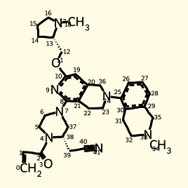 C=CC(=O)N1CCN(c2nc(OC[C@@H]3CCCN3C)cc3c2CCN(c2cccc4c2CCN(C)C4)C3)C[C@@H]1CC#N